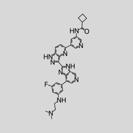 CN(C)CCNc1cc(F)cc(-c2cncc3[nH]c(-c4n[nH]c5ccc(-c6cncc(NC(=O)C7CCC7)c6)nc45)nc23)c1